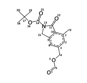 Cc1cc(COC=O)cc2c1C(=O)N(C(=O)OC(C)(C)C)C2